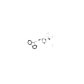 CC(C)(C)OC(=O)N[C@@H]1C[C@@H](C(=O)O)CN(C(=O)OCC2c3ccccc3-c3ccccc32)C1